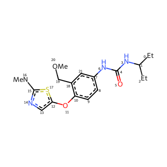 CCC(CC)NC(=O)Nc1ccc(Oc2cnc(NC)s2)c(COC)c1